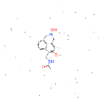 COc1cc2c3c(cccc3c1CNC(C)=O)CN(O)C2